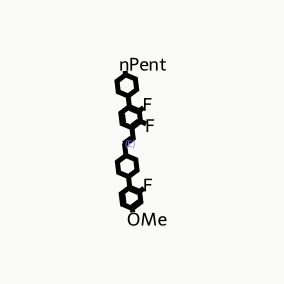 CCCCCC1CCC(c2ccc(/C=C/C3CCC(c4ccc(OC)cc4F)CC3)c(F)c2F)CC1